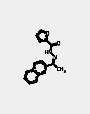 C/C(=N/NC(=O)c1ccco1)c1ccc2ccccc2c1